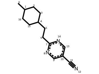 CC1CCC(CCc2ncc(C#N)cn2)CC1